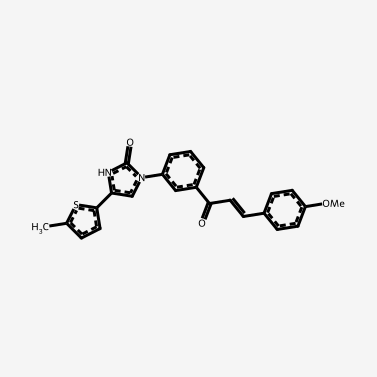 COc1ccc(C=CC(=O)c2cccc(-n3cc(-c4ccc(C)s4)[nH]c3=O)c2)cc1